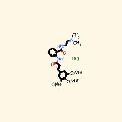 COc1cc(/C=C/C(=O)Nc2ccccc2C(=O)NCCN(C)C)cc(OC)c1OC.Cl